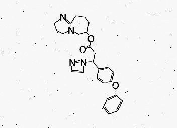 O=C(CC(c1ccc(Oc2ccccc2)cc1)n1ccnc1)OC1CCCC2=NCCCN2C1